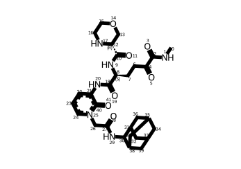 CNC(=O)C(=O)CC[C@H](NC(=O)[C@H]1COCCN1)C(=O)Nc1cccn(CC(=O)NC2C3CC4CC(C3)CC2C4)c1=O